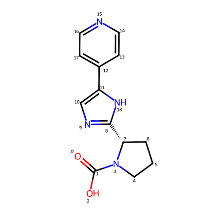 O=C(O)N1CCC[C@H]1c1ncc(-c2ccncc2)[nH]1